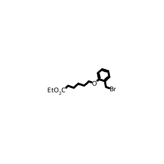 CCOC(=O)CCCCCOc1ccccc1CBr